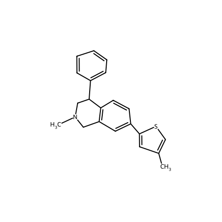 Cc1csc(-c2ccc3c(c2)CN(C)CC3c2ccccc2)c1